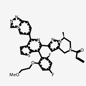 C=CC(=O)N1Cc2cc(-c3nc(-c4ccc5nncn5c4)c4ccsc4c3-c3c(F)cc(F)cc3OCCOC)nn2[C@@H](C)C1